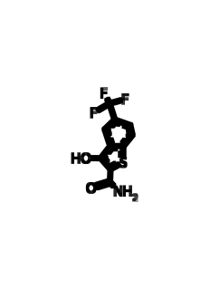 NC(=O)c1sc2ccc(C(F)(F)F)cc2c1O